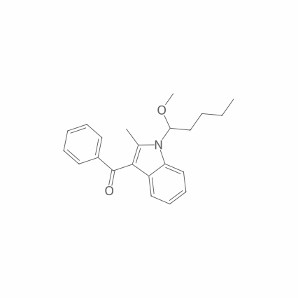 CCCCC(OC)n1c(C)c(C(=O)c2ccccc2)c2ccccc21